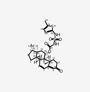 CC(=O)[C@H]1CC[C@H]2[C@@H]3C=CC4=CC(=O)CC[C@@]4(C)[C@@H]3[C@@H](OC(=O)NS(=O)(=O)Nc3ncc(C)s3)C[C@]12C